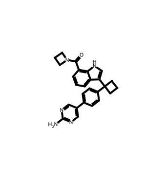 Nc1ncc(-c2ccc(C3(c4c[nH]c5c(C(=O)N6CCC6)cccc45)CCC3)cc2)cn1